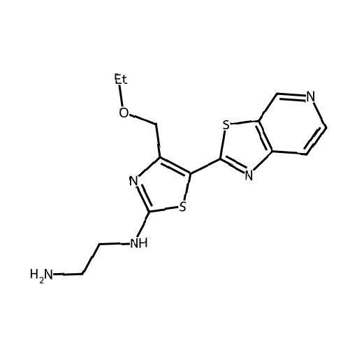 CCOCc1nc(NCCN)sc1-c1nc2ccncc2s1